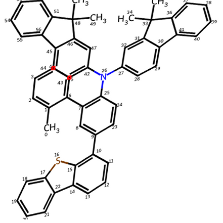 Cc1ccccc1-c1cc(-c2cccc3c2sc2ccccc23)ccc1N(c1ccc2c(c1)C(C)(C)c1ccccc1-2)c1ccc2c(c1)C(C)(C)c1ccccc1-2